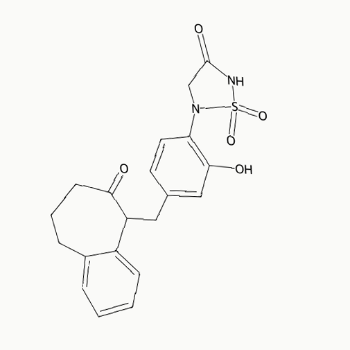 O=C1CN(c2ccc(CC3C(=O)CCCc4ccccc43)cc2O)S(=O)(=O)N1